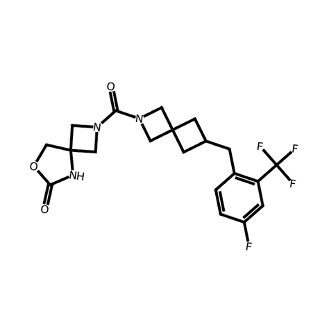 O=C1NC2(CO1)CN(C(=O)N1CC3(CC(Cc4ccc(F)cc4C(F)(F)F)C3)C1)C2